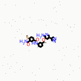 CSc1ccc(C(=O)Nc2cccc([C@@H](C)Oc3cc(-c4cnn(C)c4)cnc3N)c2)cc1C(N)=O